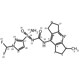 CC1CCc2c1nc1c(c2NC(=O)N=[S@](N)(=O)c2ccn(C(F)F)n2)CCC1